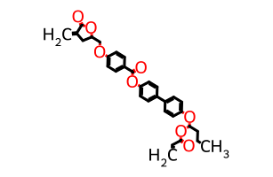 C=CC(=O)OC(CCC)Oc1ccc(-c2ccc(OC(=O)c3ccc(OCC4CC(=C)C(=O)O4)cc3)cc2)cc1